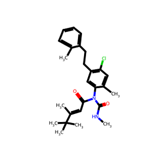 CNC(=O)N(C(=O)/C=C(\C)C(C)(C)C)c1cc(CCc2ccccc2C)c(Cl)cc1C